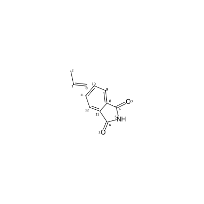 C=CC.O=C1NC(=O)c2ccccc21